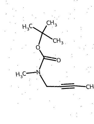 CC#CCN(C)C(=O)OC(C)(C)C